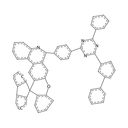 c1ccc(-c2cccc(-c3nc(-c4ccccc4)nc(-c4ccc(-c5nc6ccccc6c6cc7c(cc56)Oc5ccccc5C75c6ccccc6-c6ccccc65)cc4)n3)c2)cc1